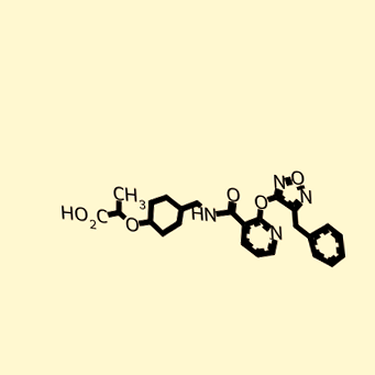 CC(OC1CCC(CNC(=O)c2cccnc2Oc2nonc2Cc2ccccc2)CC1)C(=O)O